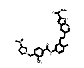 COC(=O)c1cc2cc(C=Cc3cc(NC(=O)c4ccc(CN5CCC(N(C)C)C5)c(C(F)(F)F)c4)ccc3C)cnc2[nH]1